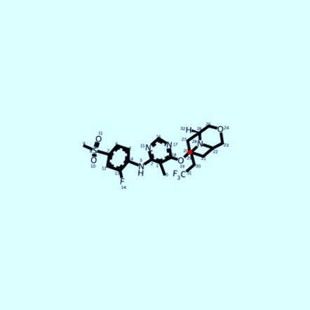 Cc1c(Nc2ccc(S(C)(=O)=O)cc2F)ncnc1OC1CC2COC[C@@H](C1)N2CCC(F)(F)F